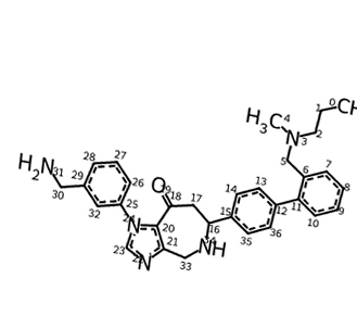 CCCN(C)Cc1ccccc1-c1ccc(C2CC(=O)c3c(ncn3-c3cccc(CN)c3)CN2)cc1